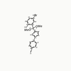 COC(OC)(c1ccc(-c2ccc(F)cc2)s1)c1cc(Br)ccc1C